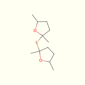 CC1CCC(C)(SC2(C)CCC(C)O2)O1